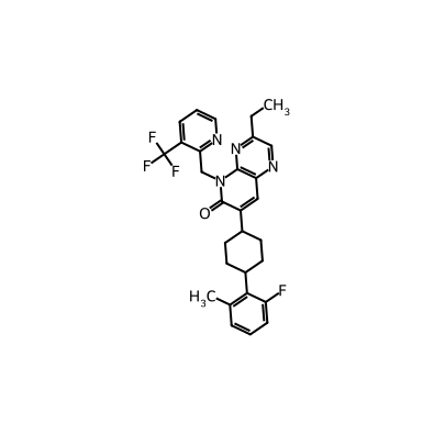 CCc1cnc2cc(C3CCC(c4c(C)cccc4F)CC3)c(=O)n(Cc3ncccc3C(F)(F)F)c2n1